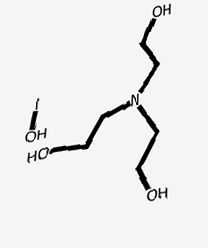 OCCN(CCO)CCO.OI